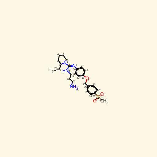 CCC1CCCCN1/C(=N/c1ccc(OCc2ccc(S(C)(=O)=O)cc2)cc1)NCCCN